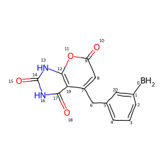 Bc1cccc(Cc2cc(=O)oc3[nH]c(=O)[nH]c(=O)c23)c1